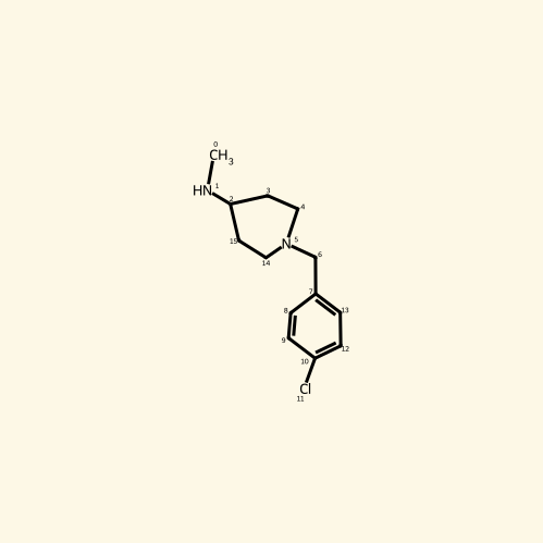 CNC1CCN(Cc2ccc(Cl)cc2)CC1